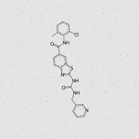 Cc1cccc(Cl)c1NC(=O)c1ccc2nc(NC(=O)NCc3cccnc3)sc2c1